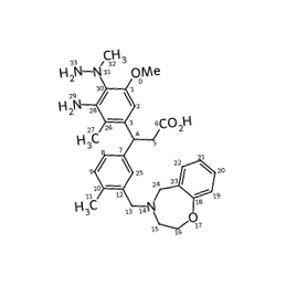 COc1cc(C(CC(=O)O)c2ccc(C)c(CN3CCOc4ccccc4C3)c2)c(C)c(N)c1N(C)N